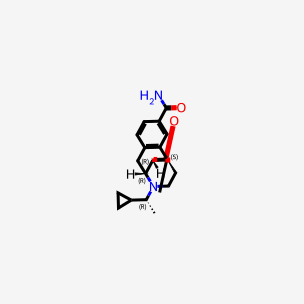 C[C@H](C1CC1)N1CC[C@]23CC(=O)CC[C@H]2[C@H]1Cc1ccc(C(N)=O)cc13